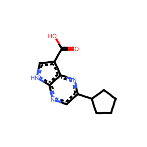 O=C(O)c1c[nH]c2ncc(C3CCCC3)nc12